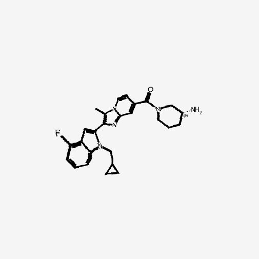 Cc1c(-c2cc3c(F)cccc3n2CC2CC2)nc2cc(C(=O)N3CCC[C@@H](N)C3)ccn12